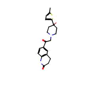 Cc1ccc(C2(O)CCN(CC(=O)c3ccc4c(c3)CCC(=O)N4)CC2)s1